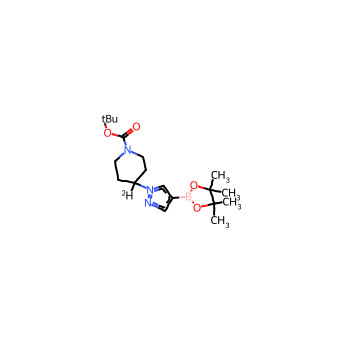 [2H]C1(n2cc(B3OC(C)(C)C(C)(C)O3)cn2)CCN(C(=O)OC(C)(C)C)CC1